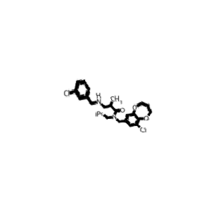 CC(C)CN(Cc1cc(Cl)c2c(c1)OCCCO2)C(=O)C(C)CNCc1cccc(Cl)c1